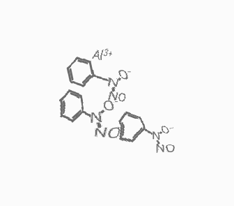 O=NN([O-])c1ccccc1.O=NN([O-])c1ccccc1.O=NN([O-])c1ccccc1.[Al+3]